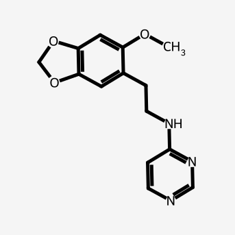 COc1cc2c(cc1CCNc1ccncn1)OCO2